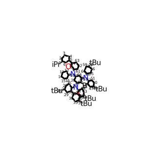 CC(C)c1cccc2c1oc1c(N(c3ccccc3)c3cc4c5c(c3)N(c3ccc(C(C)(C)C)cc3-c3ccc(C(C)(C)C)cc3)c3ccc(C(C)(C)C)cc3B5c3cc(C(C)(C)C)ccc3N4c3ccc(C(C)(C)C)cc3)cccc12